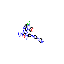 CN1CCN(C2CCN(c3ccc(Nc4nc(NC5CCOCC5)c(-c5cc(Cl)ccn5)nc4C(N)=O)cc3)CC2)CC1